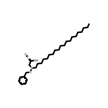 CCCCCCCCCCCCCCCCCCCCN(CC(O)=C=O)OCc1ccccc1